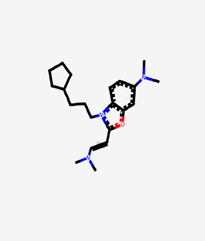 CN(C)/C=C/c1oc2cc(N(C)C)ccc2[n+]1CCCC1CCCC1